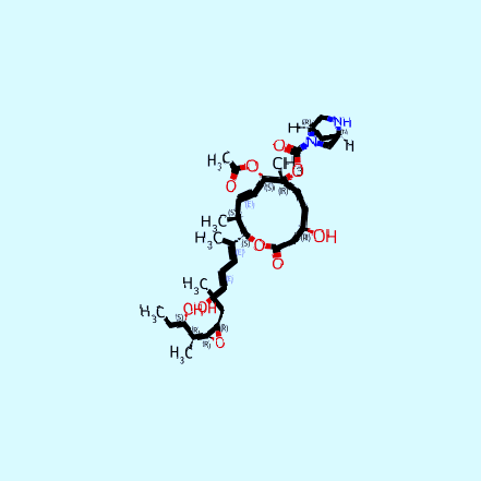 CC[C@H](O)[C@@H](C)[C@H]1O[C@@H]1CC(C)(O)/C=C/C=C(\C)[C@H]1OC(=O)C[C@H](O)CC[C@@](C)(OC(=O)N2C[C@H]3C[C@@H]2CN3)[C@@H](OC(C)=O)/C=C/[C@@H]1C